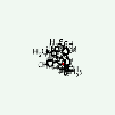 CCC1C=C(C(C)(C)C)C=[C]1[Zr+2](=[C](c1ccc(Cl)cc1)c1ccc(Cl)cc1)[CH]1c2cc(C(C)(C)C)ccc2-c2ccc(C(C)(C)C)cc21.[Cl-].[Cl-]